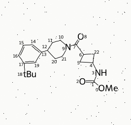 COC(=O)NC1CC(C(=O)N2CCC(c3cccc(C(C)(C)C)c3)CC2)C1